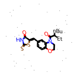 CCCCC(CC)C(=O)N1CCOc2ccc(/C=C3\SC(=S)NC3=O)cc21